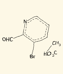 CC(=O)O.O=Cc1ncccc1Br